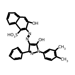 Cc1ccc(-n2nc(-c3ccccc3)c(N=Nc3c(O)cc4ccccc4c3S(=O)(=O)O)c2O)cc1C